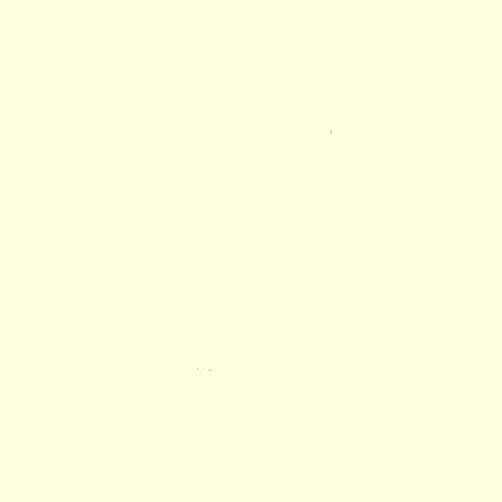 COc1cc2c(cc1OC)-c1c(oc3c4c(ccc3c1=O)OC(C(C)C)C4)CO2